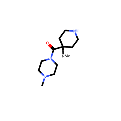 CNC1(C(=O)N2CCN(C)CC2)CCNCC1